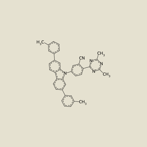 Cc1cccc(-c2ccc3c4ccc(-c5cccc(C)c5)cc4n(-c4ccc(-c5nc(C)nc(C)n5)c(C#N)c4)c3c2)c1